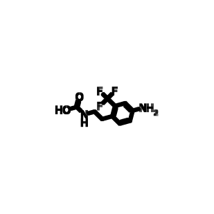 Nc1ccc(CCNC(=O)O)c(C(F)(F)F)c1